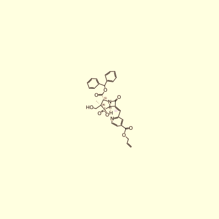 C=CCOC(=O)c1ccnc(/C=C2/C(=O)N3[C@@H](C(=O)OC(c4ccccc4)c4ccccc4)[C@](C)(CO)S(=O)(=O)[C@H]23)c1